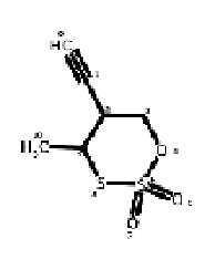 C#CC1COS(=O)(=O)SC1C